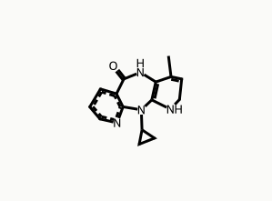 CC1=CCNC2=C1NC(=O)c1cccnc1N2C1CC1